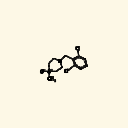 C[N+]1([O-])CCN(Cc2c(Cl)cccc2Cl)CC1